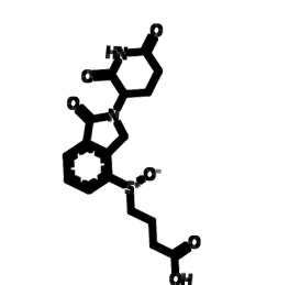 O=C(O)CCC[S+]([O-])c1cccc2c1CN(C1CCC(=O)NC1=O)C2=O